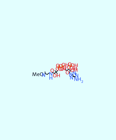 CO/N=C(\C)CCNC(=O)[C@@H](O)C(C)(C)COP(=O)(O)OP(=O)(O)OCC1OC(n2cnc3c(N)ncnc32)C(O)C1OP(=O)(O)O